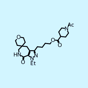 CCn1nc(CCCCOC(=O)C2CCN(C(C)=O)CC2)c2c1C(=O)NCC1(CCOCC1)C2